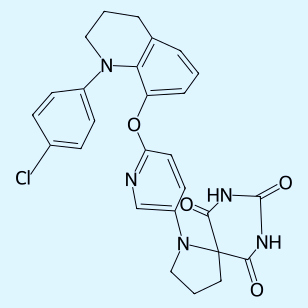 O=C1NC(=O)C2(CCCN2c2ccc(Oc3cccc4c3N(c3ccc(Cl)cc3)CCC4)nc2)C(=O)N1